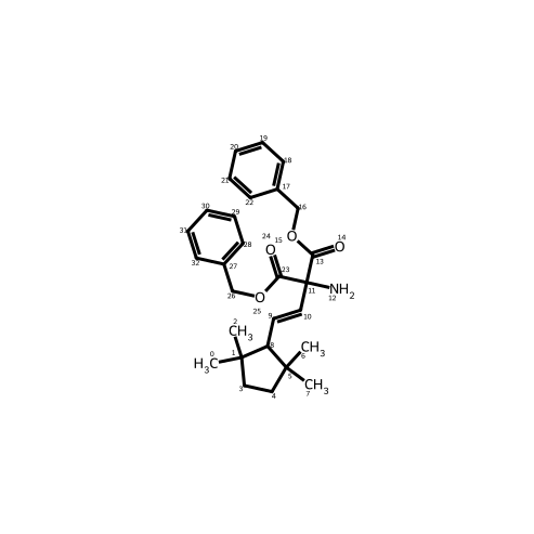 CC1(C)CCC(C)(C)C1C=CC(N)(C(=O)OCc1ccccc1)C(=O)OCc1ccccc1